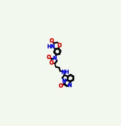 O=C1COc2ccc(N3C[C@@H](CCCNC4Cn5c(=O)cnc6cccc4c65)OC3=O)cc2N1